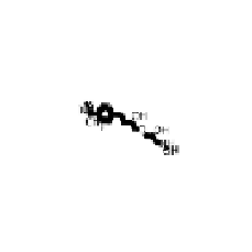 CC1(c2ccc(CCC(O)COCC(O)CNO)cc2)N=N1